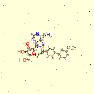 CCOc1cccc(-c2ccc(N(C)c3nc4c(N)ncnc4n3[C@@H]3O[C@H](CO)[C@@H](O)[C@H]3O)cc2)c1